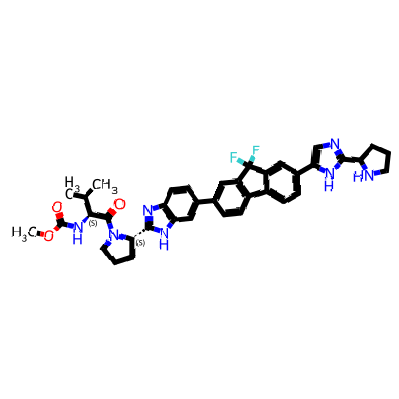 COC(=O)N[C@H](C(=O)N1CCC[C@H]1c1nc2ccc(-c3ccc4c(c3)C(F)(F)c3cc(-c5cnc(C6CCCN6)[nH]5)ccc3-4)cc2[nH]1)C(C)C